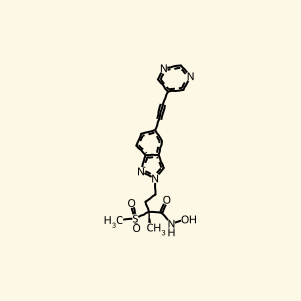 C[C@@](CCn1cc2cc(C#Cc3cncnc3)ccc2n1)(C(=O)NO)S(C)(=O)=O